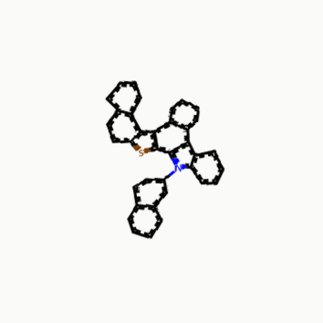 c1ccc2cc(-n3c4ccccc4c4c5ccccc5c5c(sc6ccc7ccccc7c65)c43)ccc2c1